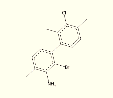 Cc1[c]cc(-c2ccc(C)c(N)c2Br)c(C)c1Cl